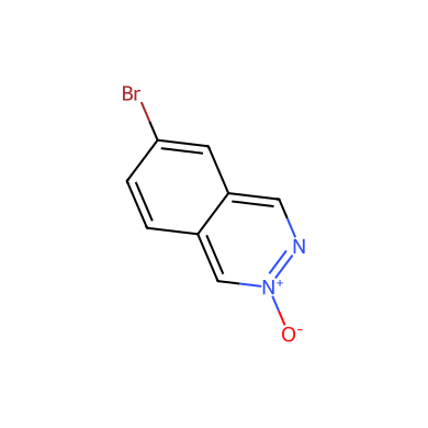 [O-][n+]1cc2ccc(Br)cc2cn1